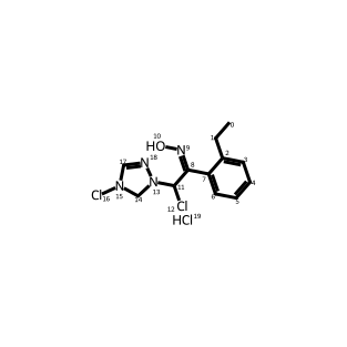 CCc1ccccc1C(=NO)C(Cl)N1CN(Cl)C=N1.Cl